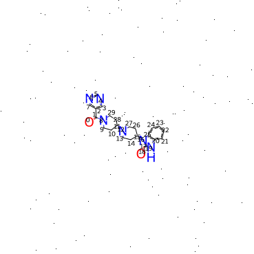 O=C(c1cncnc1)N1CCC(N2CCC(n3c(=O)[nH]c4ccccc43)CC2)CC1